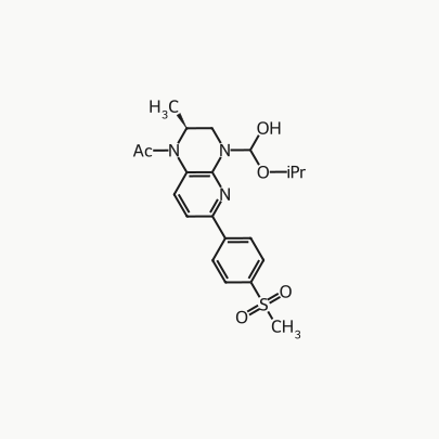 CC(=O)N1c2ccc(-c3ccc(S(C)(=O)=O)cc3)nc2N(C(O)OC(C)C)C[C@@H]1C